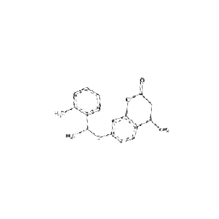 Cc1ccccc1C(C)Oc1ccc2c(c1)OC(=O)CC2C